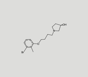 Cc1c(Br)cccc1OCCCCN1CC[C@@H](O)C1